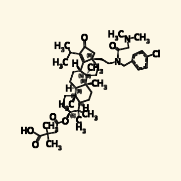 CC(C)C1=C2[C@H]3CC[C@@H]4[C@@]5(C)CC[C@H](OC(=O)CC(C)(C)C(=O)O)C(C)(C)[C@@H]5CC[C@@]4(C)[C@]3(C)CC[C@@]2(CCN(Cc2ccc(Cl)cc2)C(=O)CN(C)C)CC1=O